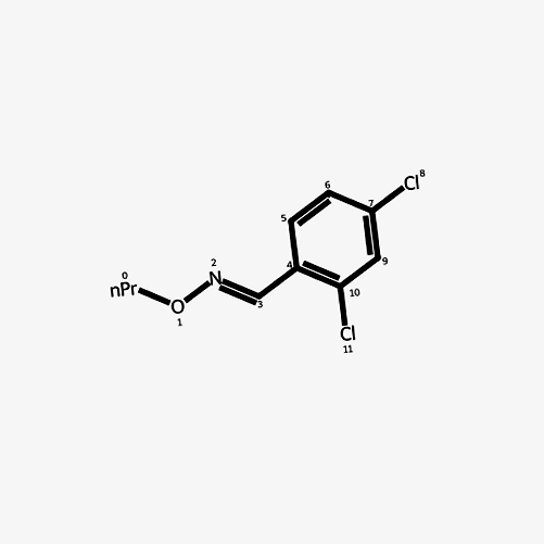 CCCON=Cc1c[c]c(Cl)cc1Cl